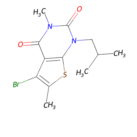 Cc1sc2c(c1Br)c(=O)n(C)c(=O)n2CC(C)C